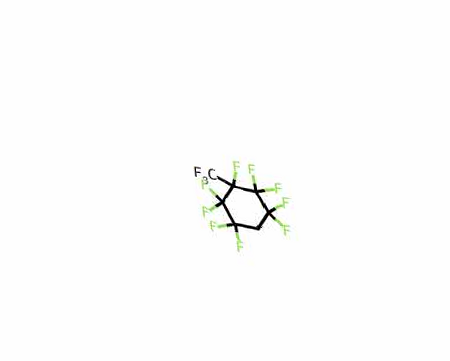 FC(F)(F)C1(F)C(F)(F)C(F)(F)CC(F)(F)C1(F)F